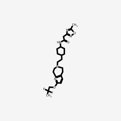 Cc1nc(CC(=O)NC2CCC(CCN3CCc4ccc(OCC(C)(F)F)nc4CC3)CC2)no1